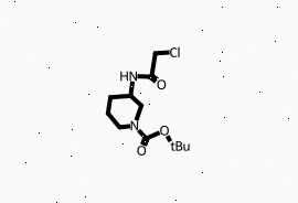 CC(C)(C)OC(=O)N1CCCC(NC(=O)CCl)C1